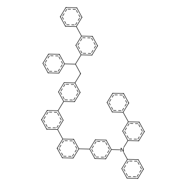 c1ccc(-c2cccc(C(Cc3ccc(-c4cccc(-c5cccc(-c6ccc(N(c7ccccc7)c7cccc(-c8ccccc8)c7)cc6)c5)c4)cc3)c3ccccc3)c2)cc1